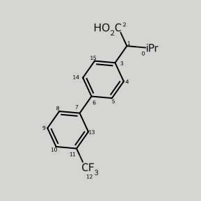 CC(C)C(C(=O)O)c1ccc(-c2cccc(C(F)(F)F)c2)cc1